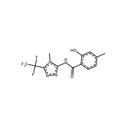 Cc1ccc(C(=O)Nc2nnc(C(F)(F)C(F)(F)F)n2C)c(O)c1